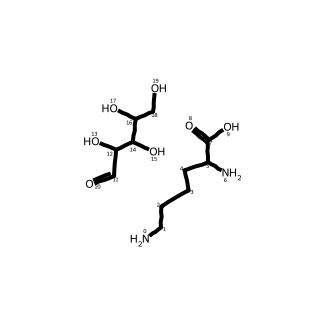 NCCCCC(N)C(=O)O.O=CC(O)C(O)C(O)CO